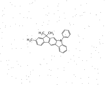 Cc1ccc2c(c1)C(C)(C)c1cc3c(cc1-2)c1ccccc1n3-c1ccccc1